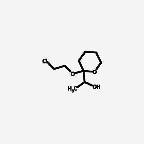 CC(O)C1(OCCCl)CCCCO1